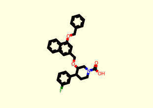 O=C(O)N1CCC(c2cccc(F)c2)C(OCc2cc(OCc3ccccc3)c3ccccc3c2)C1